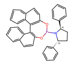 c1ccc([C@H]2CC[C@H](c3ccccc3)N2p2oc3ccc4ccccc4c3c3c(ccc4ccccc43)o2)cc1